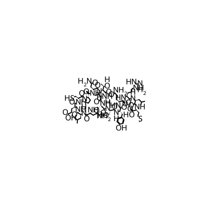 CSCC[C@H](NC(=O)[C@H](CC(C)C)NC(=O)[C@H](CCCNC(=N)N)NC(=O)[C@H](CCC(N)=O)NC(=O)[C@H](Cc1ccc(O)cc1)NC(=O)[C@H](CO)NC(=O)[C@H](C)NC(=O)[C@@H](NC(=O)[C@@H](NC(=O)[C@H](CC(N)=O)NC(=O)[C@@H]1CCCN1C(=O)[C@H](CS)NC(=O)[C@H](CCC(=O)O)NC(=O)[C@H](CC(C)C)NC(=O)[C@@H](N)CC(N)=O)[C@@H](C)O)C(C)C)C(=O)O